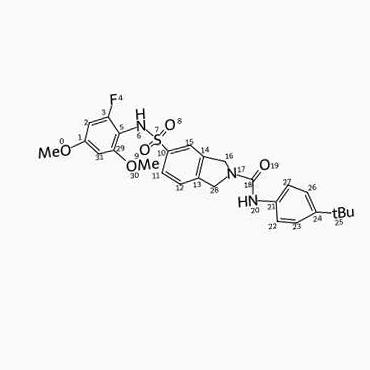 COc1cc(F)c(NS(=O)(=O)c2ccc3c(c2)CN(C(=O)Nc2ccc(C(C)(C)C)cc2)C3)c(OC)c1